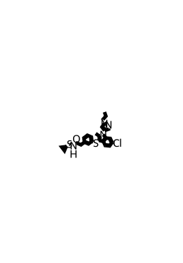 CCCn1cc(-n2c(C)c(Sc3cccc(CC(=O)NSC4CC4)c3)c3ccc(Cl)cc32)cn1